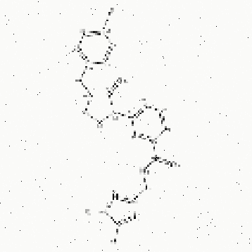 Cc1cc(CNC(=O)c2ccnc(N3CCN(Cc4ccc(F)cc4)C3=O)c2)nn1C